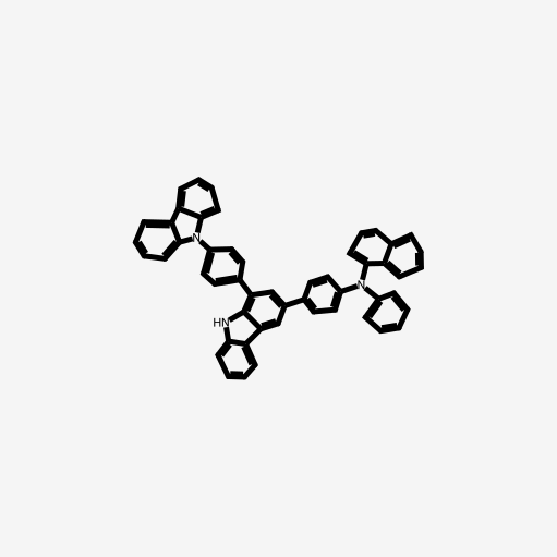 c1ccc(N(c2ccc(-c3cc(-c4ccc(-n5c6ccccc6c6ccccc65)cc4)c4[nH]c5ccccc5c4c3)cc2)c2cccc3ccccc23)cc1